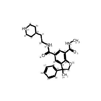 CNC(=O)c1cc(C(=O)NCCC2CCNCC2)cc2c1OCC2(C)c1ccccc1